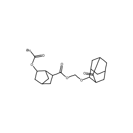 CCC(C)C(=O)OC1CC2CC(C(=O)OCOC3C4CC5CC(C4)C(=O)C3C5)C1C2